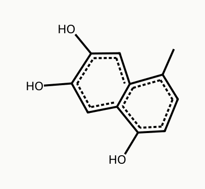 Cc1ccc(O)c2cc(O)c(O)cc12